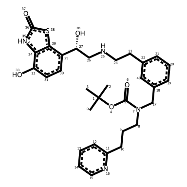 CC(C)(C)OC(=O)N(CCCc1ccccn1)Cc1cccc(CCNC[C@@H](O)c2ccc(O)c3[nH]c(=O)sc23)c1